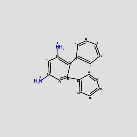 Nc1cc(N)c(-c2ccccc2)c(-c2ccccc2)c1